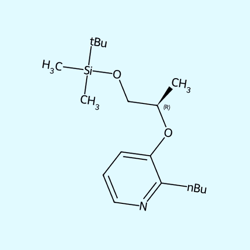 CCCCc1ncccc1O[C@H](C)CO[Si](C)(C)C(C)(C)C